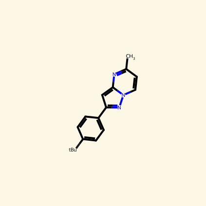 Cc1ccn2nc(-c3ccc(C(C)(C)C)cc3)cc2n1